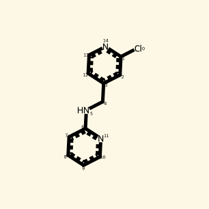 Clc1cc(CNc2[c]cccn2)ccn1